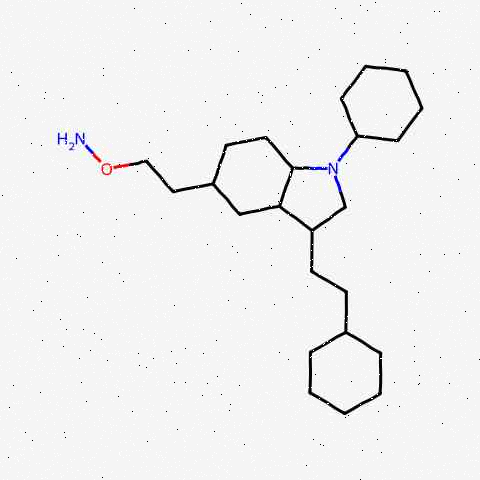 NOCCC1CCC2C(C1)C(CCC1CCCCC1)CN2C1CCCCC1